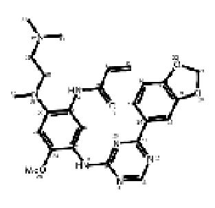 C=CC(=O)Nc1cc(Nc2ncnc(-c3ccc4c(c3)OCO4)n2)c(OC)cc1N(C)CCN(C)C